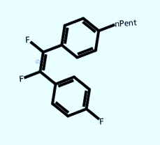 CCCCCc1ccc(/C(F)=C(/F)c2ccc(F)cc2)cc1